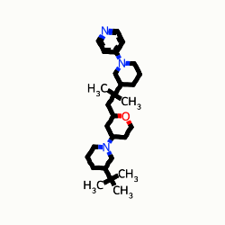 CC(C)(C)C1CCCN(C2CCOC(CC(C)(C)C3CCCN(c4ccncc4)C3)C2)C1